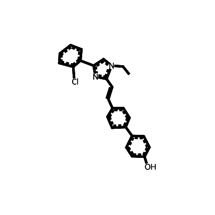 CCn1cc(-c2ccccc2Cl)nc1C=Cc1ccc(-c2ccc(O)cc2)cc1